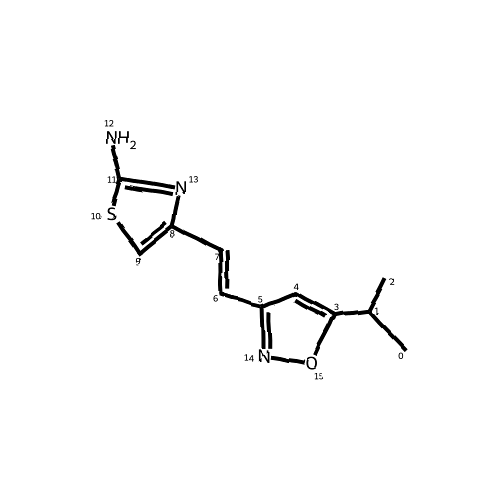 CC(C)c1cc(C=Cc2csc(N)n2)no1